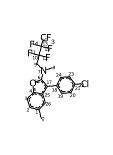 Cc1ccc2oc(N(C)CC(F)(F)C(F)(F)C(F)(F)F)c(-c3ccc(Cl)cc3)c2c1